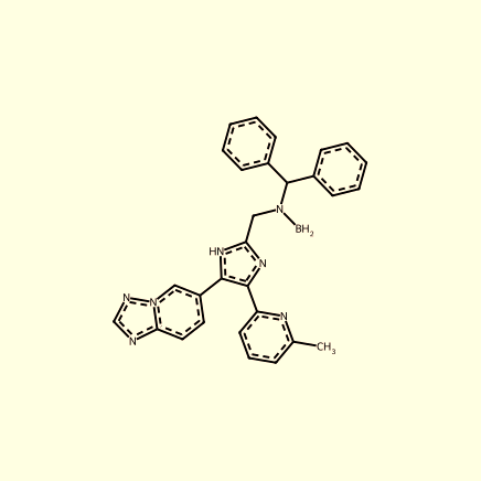 BN(Cc1nc(-c2cccc(C)n2)c(-c2ccc3ncnn3c2)[nH]1)C(c1ccccc1)c1ccccc1